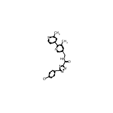 Cc1cc(-c2ncc(CNC(=O)c3nnc(-c4ccc(Cl)cc4)s3)cc2C)ccn1